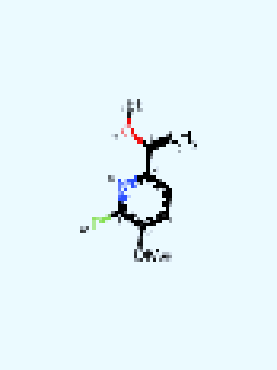 C=C(OCC)c1ccc(OC)c(F)n1